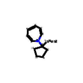 CCCCCC1(N2C=CC=CC=C2)CCCC1